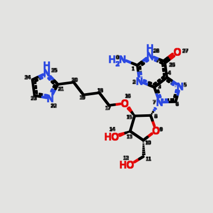 Nc1nc2c(ncn2[C@@H]2O[C@H](CO)[C@@H](O)[C@H]2OCCCCc2ncc[nH]2)c(=O)[nH]1